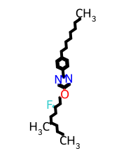 CCCCCCCCCc1ccc(-c2ncc(OCCC(F)CCC(C)CCCC)cn2)cc1